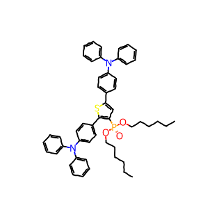 CCCCCCOP(=O)(OCCCCCC)c1cc(-c2ccc(N(c3ccccc3)c3ccccc3)cc2)sc1-c1ccc(N(c2ccccc2)c2ccccc2)cc1